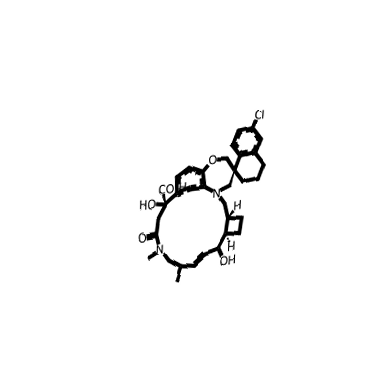 CC1/C=C/C(O)[C@@H]2CC[C@H]2CN2C[C@@]3(CCCc4cc(Cl)ccc43)COc3ccc(cc32)[C@](O)(C(=O)O)CC(=O)N(C)C1